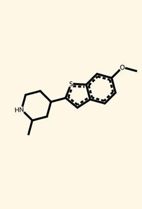 COc1ccc2cc(C3CCNC(C)C3)sc2c1